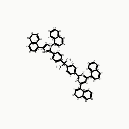 CC(C)(c1ccc(-c2nc(C3=CCCc4ccccc43)cc(-c3cccc4ccccc34)n2)cc1)c1ccc(-c2nc(-c3cccc4c3C=CCC4)cn2-c2cccc3ccccc23)cc1